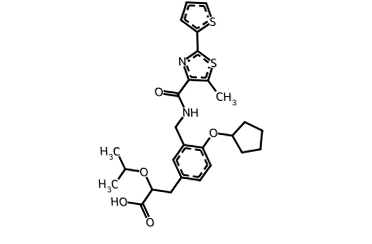 Cc1sc(-c2cccs2)nc1C(=O)NCc1cc(CC(OC(C)C)C(=O)O)ccc1OC1CCCC1